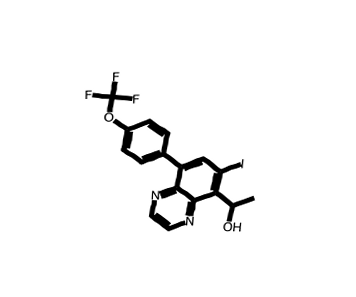 CC(O)c1c(I)cc(-c2ccc(OC(F)(F)F)cc2)c2nccnc12